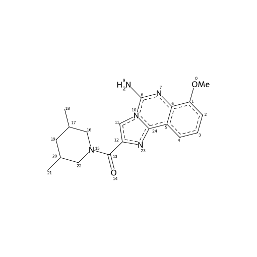 COc1cccc2c1nc(N)n1cc(C(=O)N3CC(C)CC(C)C3)nc21